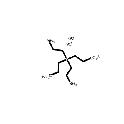 Cl.Cl.NCCS(CCN)(CCC(=O)O)CCC(=O)O